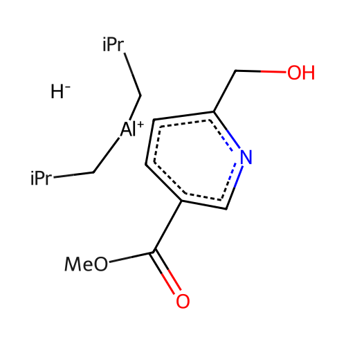 CC(C)[CH2][Al+][CH2]C(C)C.COC(=O)c1ccc(CO)nc1.[H-]